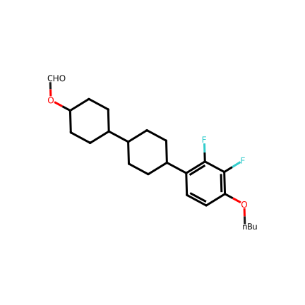 CCCCOc1ccc(C2CCC(C3CCC(OC=O)CC3)CC2)c(F)c1F